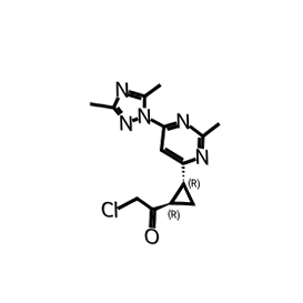 Cc1nc([C@@H]2C[C@H]2C(=O)CCl)cc(-n2nc(C)nc2C)n1